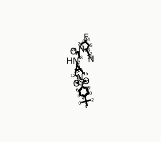 CC(C)(C)c1ccc(S(=O)(=O)N2CC3C(C2)C3NCC(=O)N2C[C@@H](F)CC2C#N)cc1